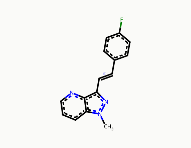 Cn1nc(/C=C/c2ccc(F)cc2)c2ncccc21